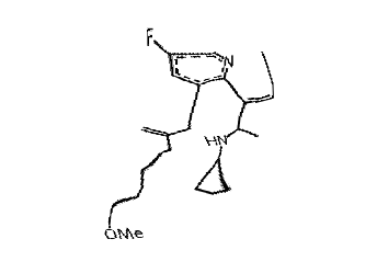 C=C(CCCCOC)Cc1cc(F)cnc1/C(=C\C)C(C)NC1CC1